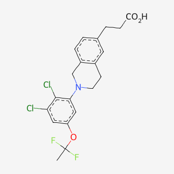 CC(F)(F)Oc1cc(Cl)c(Cl)c(N2CCc3cc(CCC(=O)O)ccc3C2)c1